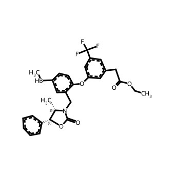 CBc1ccc(Oc2cc(CC(=O)OCC)cc(C(F)(F)F)c2)c(CN2C(=O)O[C@H](c3ccccc3)[C@@H]2C)c1